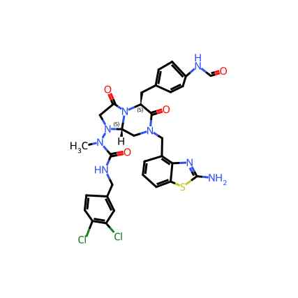 CN(C(=O)NCc1ccc(Cl)c(Cl)c1)N1CC(=O)N2[C@@H](Cc3ccc(NC=O)cc3)C(=O)N(Cc3cccc4sc(N)nc34)C[C@@H]21